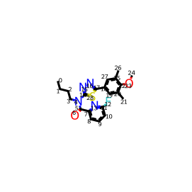 CCCCN(C(=O)c1cccc(F)n1)c1nnc(-c2cc(C)c(OC)c(C)c2)s1